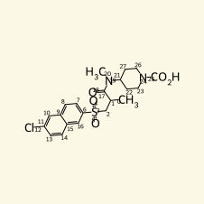 CC(CS(=O)(=O)c1ccc2cc(Cl)ccc2c1)C(=O)N(C)C1CCN(C(=O)O)CC1